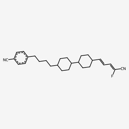 N#CC(F)=CC=CC1CCC(C2CCC(CCCCc3ccc(C#N)cc3)CC2)CC1